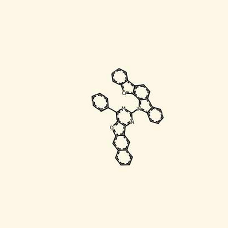 c1ccc(-c2nc(-n3c4ccccc4c4ccc5c6ccccc6oc5c43)nc3c2oc2cc4ccccc4cc23)cc1